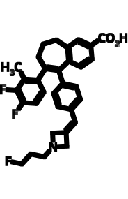 Cc1c(C2=C(c3ccc(C=C4CN(CCCF)C4)cc3)c3ccc(C(=O)O)cc3CCC2)ccc(F)c1F